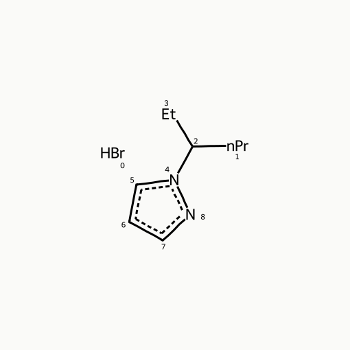 Br.CCCC(CC)n1cccn1